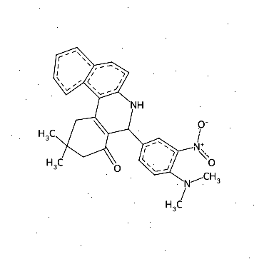 CN(C)c1ccc(C2Nc3ccc4ccccc4c3C3=C2C(=O)CC(C)(C)C3)cc1[N+](=O)[O-]